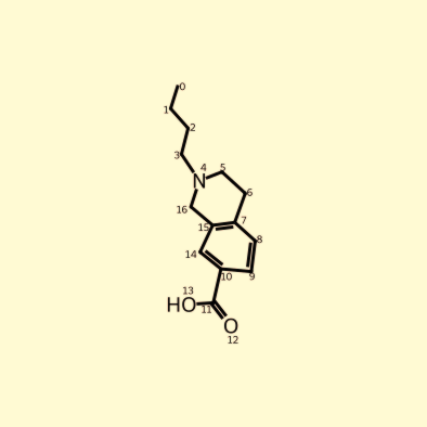 CCCCN1CCc2ccc(C(=O)O)cc2C1